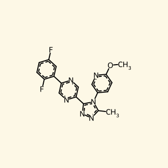 COc1ccc(-n2c(C)nnc2-c2cnc(-c3cc(F)ccc3F)cn2)cn1